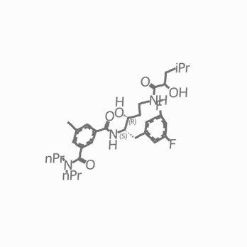 CCCN(CCC)C(=O)c1cc(C)cc(C(=O)N[C@@H](Cc2cc(F)cc(F)c2)[C@H](O)CCNC(=O)C(O)CC(C)C)c1